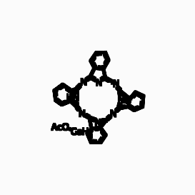 CC(=O)[O][GaH2].c1ccc2c(c1)-c1nc-2nc2[nH]c(nc3nc(nc4[nH]c(n1)c1ccccc41)-c1ccccc1-3)c1ccccc21